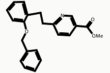 COC(=O)c1ccc(CCc2ccccc2OCc2ccccc2)nc1